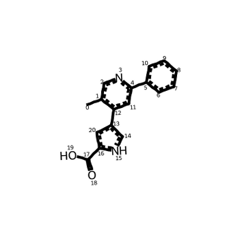 Cc1cnc(-c2ccccc2)cc1-c1c[nH]c(C(=O)O)c1